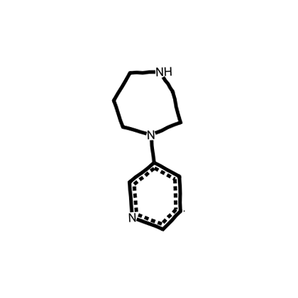 [c]1cncc(N2CCCNCC2)c1